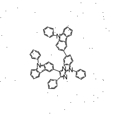 c1ccc(-c2nc3n(-c4ccccc4)c4ccc(-c5ccc6c(c5)c5ccccc5n6-c5ccccc5)cc4n3c2-c2ccc3c(c2)c2ccccc2n3-c2ccccc2)cc1